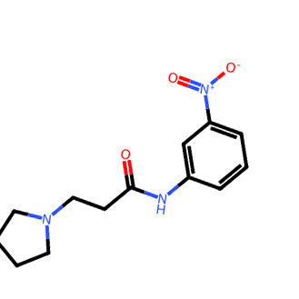 O=C(CCN1CCCC1)Nc1cccc([N+](=O)[O-])c1